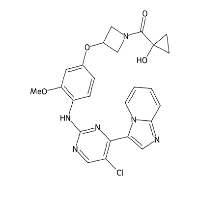 COc1cc(OC2CN(C(=O)C3(O)CC3)C2)ccc1Nc1ncc(Cl)c(-c2cnc3ccccn23)n1